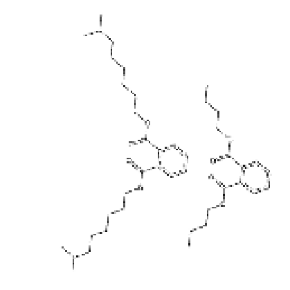 CC(C)CCCCCCOC(=O)c1ccccc1C(=O)OCCCCCCC(C)C.CCCCOC(=O)c1ccccc1C(=O)OCCCC